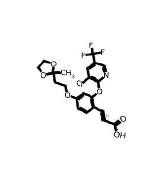 CC1(CCOc2ccc(/C=C/C(=O)O)c(Oc3ncc(C(F)(F)F)cc3Cl)c2)OCCO1